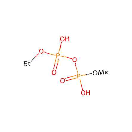 CCOP(=O)(O)OP(=O)(O)OC